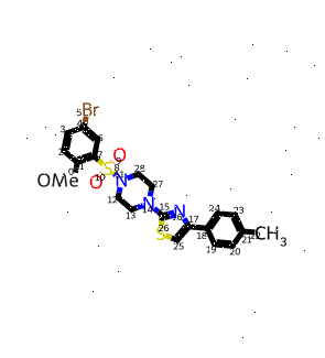 COc1ccc(Br)cc1S(=O)(=O)N1CCN(c2nc(-c3ccc(C)cc3)cs2)CC1